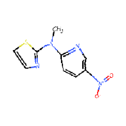 CN(c1ccc([N+](=O)[O-])cn1)c1nccs1